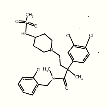 CN(Cc1ccccc1Cl)C(=O)C(C)(CCN1CCC(NS(C)(=O)=O)CC1)c1ccc(Cl)c(Cl)c1